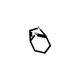 c1sc2nc1CCC2